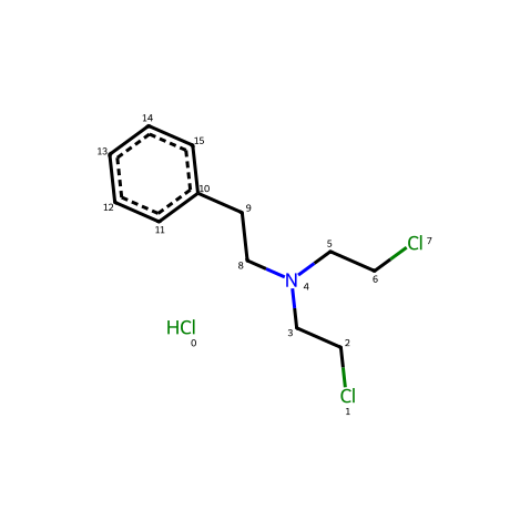 Cl.ClCCN(CCCl)CCc1ccccc1